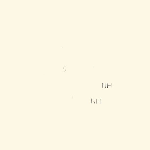 C1CNNC1.C1CSC1